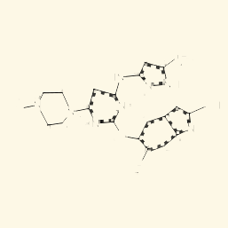 Cc1cc2cc(Oc3nc(Nc4cc(C(C)(C)C)[nH]n4)cc(N4CCN(C)CC4)n3)c(F)cc2[nH]1